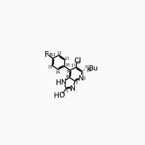 [CH2][C@@H](CC)c1nc2nc(O)[nH]c2c(-c2ccc(F)cc2)c1Cl